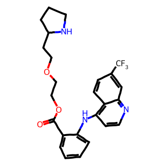 O=C(OCCOCCC1CCCN1)c1ccccc1Nc1ccnc2cc(C(F)(F)F)ccc12